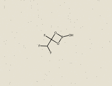 OB1OC(F)(C(F)F)O1